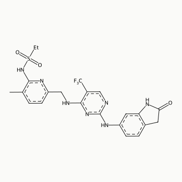 CCS(=O)(=O)Nc1nc(CNc2nc(Nc3ccc4c(c3)NC(=O)C4)ncc2C(F)(F)F)ccc1C